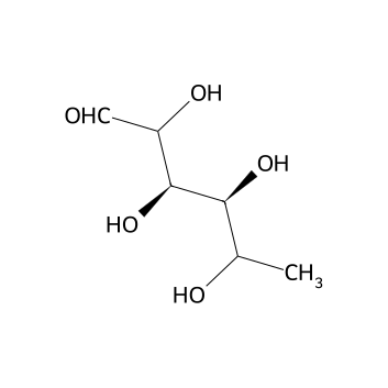 CC(O)[C@H](O)[C@@H](O)C(O)C=O